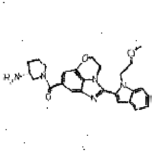 COCCn1c(-c2nc3cc(C(=O)N4CCC[C@@H](N)C4)cc4c3n2CCO4)cc2ccccc21